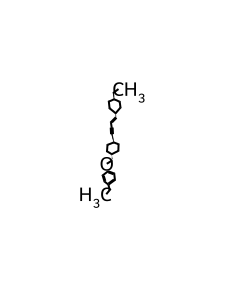 CCc1ccc(OC[C@H]2CC[C@H](C#CC=C[C@H]3CC[C@H](CC)CC3)CC2)cc1